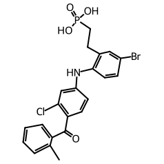 Cc1ccccc1C(=O)c1ccc(Nc2ccc(Br)cc2CCP(=O)(O)O)cc1Cl